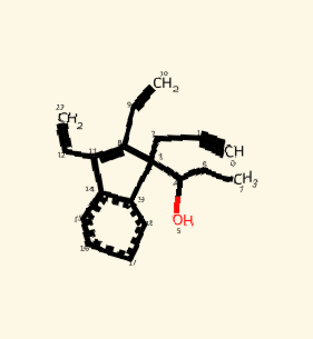 C#CCC1(C(O)CC)C(C=C)=C(C=C)c2ccccc21